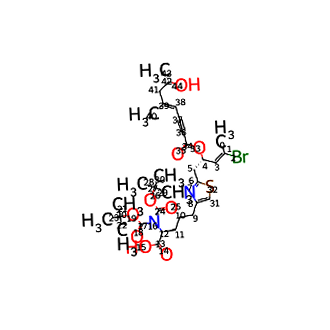 C/C(Br)=C\[C@H](Cc1nc(CCC[C@@H](C(=O)O)N(C(=O)OC(C)(C)C)C(=O)OC(C)(C)C)cs1)OC(=O)C#C/C=C(\C)C[C@H](C)O